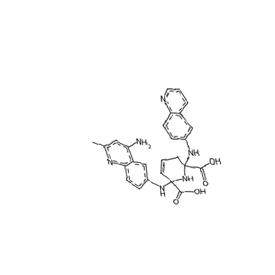 Cc1cc(N)c2cc(NC3(C(=O)O)C=CCC(Nc4ccc5ncccc5c4)(C(=O)O)N3)ccc2n1